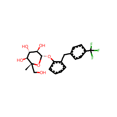 C[C@]1(CO)O[C@@H](Oc2ccccc2Cc2ccc(C(F)(F)F)cc2)[C@H](O)[C@@H](O)[C@@H]1O